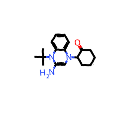 CC(C)(C)N1C(N)=CN(C2C[CH]CCC2=O)c2ccccc21